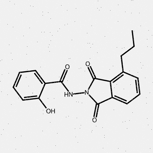 CCCc1cccc2c1C(=O)N(NC(=O)c1ccccc1O)C2=O